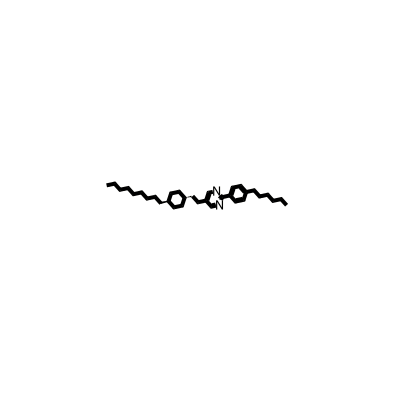 CCCCCCCCC[C@H]1CC[C@H](CCc2cnc(-c3ccc(CCCCCC)cc3)nc2)CC1